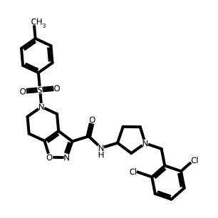 Cc1ccc(S(=O)(=O)N2CCc3onc(C(=O)NC4CCN(Cc5c(Cl)cccc5Cl)C4)c3C2)cc1